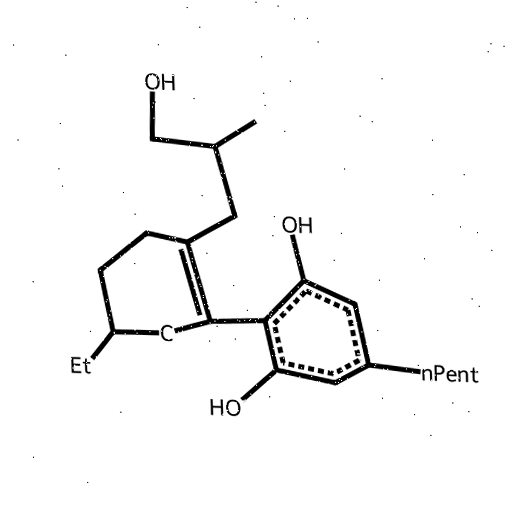 CCCCCc1cc(O)c(C2=C(CC(C)CO)CCC(CC)C2)c(O)c1